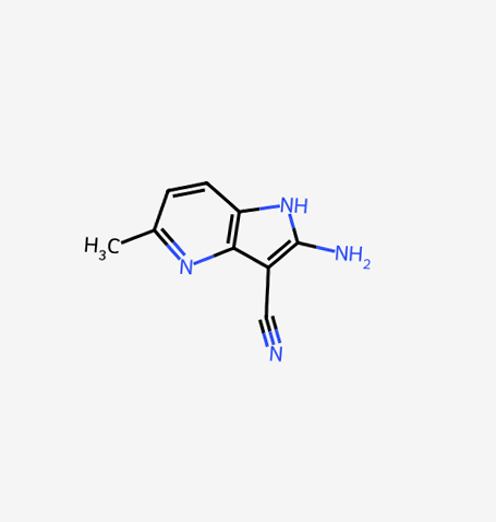 Cc1ccc2[nH]c(N)c(C#N)c2n1